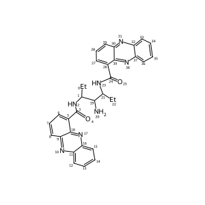 CCC(NC(=O)c1cccc2nc3ccccc3nc12)C(N)C(CC)NC(=O)c1cccc2nc3ccccc3nc12